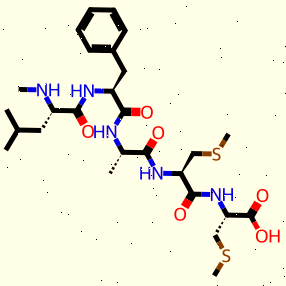 CN[C@@H](CC(C)C)C(=O)N[C@@H](Cc1ccccc1)C(=O)N[C@@H](C)C(=O)N[C@@H](CSC)C(=O)N[C@@H](CSC)C(=O)O